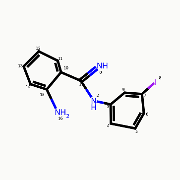 N=C(Nc1cccc(I)c1)c1ccccc1N